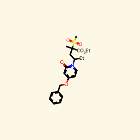 CCOC(=O)C(C)(CC(CC)n1ccc(OCc2ccccc2)cc1=O)S(C)(=O)=O